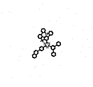 CC1(C)c2cccc3c2-c2c1c(-c1nc(-c4ccc(-c5ccc6ccccc6c5)cc4)nc(-c4cc(-c5ccccc5)cc(-c5ccccc5)c4)n1)cc1c4ccccc4n(c21)-c1ccccc1-3